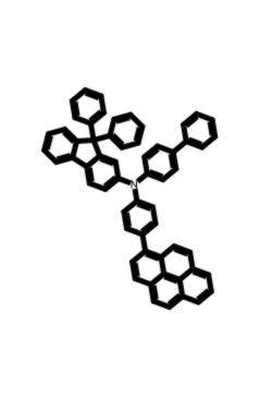 c1ccc(-c2ccc(N(c3ccc(-c4ccc5ccc6cccc7ccc4c5c67)cc3)c3ccc4c(c3)C(c3ccccc3)(c3ccccc3)c3ccccc3-4)cc2)cc1